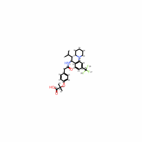 CC(C)CC(NC(=O)Cc1ccc(OC(C)(C)C(=O)O)cc1)c1ccc(C(F)(F)F)cc1N1CCCCC1